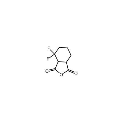 O=C1OC(=O)C2C1CCCC2(F)F